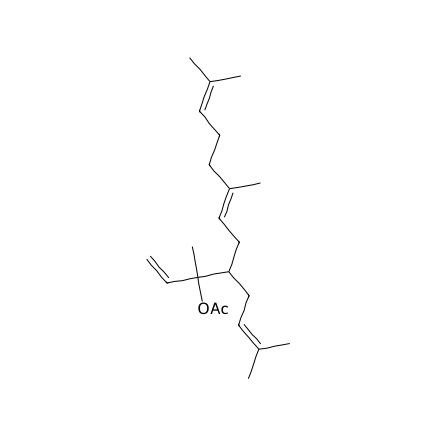 C=CC(C)(OC(C)=O)C(CC=C(C)C)C/C=C(\C)CCC=C(C)C